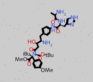 CCC(C)[C@](C(=O)OC)(c1ccc(OC)cc1)N(C(=O)CC(O)[C@@H](N)Cc1ccc(NC(=O)[C@H](Cc2c[nH]cn2)NC(=O)C(C)N)cc1)C(=O)OC(C)(C)C